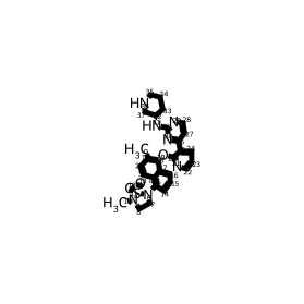 Cc1ccc2c(N3CCN(C)S3(=O)=O)cccc2c1Oc1ncccc1-c1ccnc(N[C@H]2CCCNC2)n1